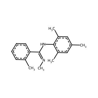 C/N=C(/Nc1c(C)cc(C)cc1C)c1ccccc1C